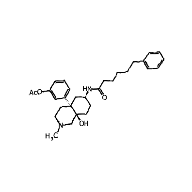 CC(=O)Oc1cccc([C@@]23CCN(C)C[C@@]2(O)CC[C@H](NC(=O)CCCCCc2ccccc2)C3)c1